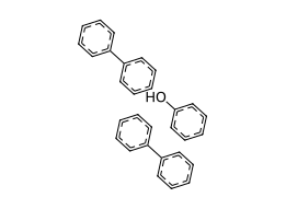 Oc1ccccc1.c1ccc(-c2ccccc2)cc1.c1ccc(-c2ccccc2)cc1